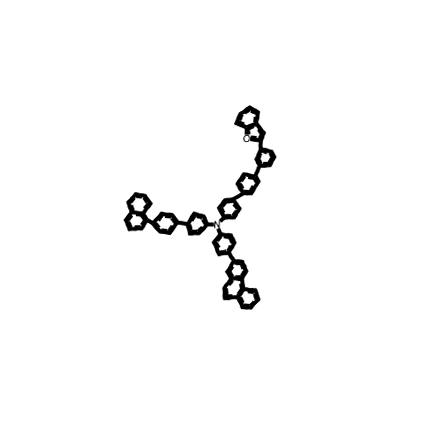 c1cc(-c2ccc(-c3ccc(N(c4ccc(-c5ccc(-c6cccc7ccccc67)cc5)cc4)c4ccc(-c5ccc6c(ccc7ccccc76)c5)cc4)cc3)cc2)cc(-c2cc3ccccc3o2)c1